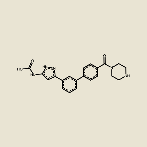 O=C(O)Nc1cc(-c2cccc(-c3ccc(C(=O)N4CCNCC4)cc3)c2)n[nH]1